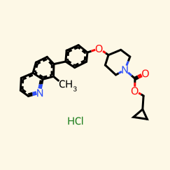 Cc1c(-c2ccc(OC3CCN(C(=O)OCC4CC4)CC3)cc2)ccc2cccnc12.Cl